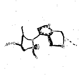 COC1CS(=O)(=O)N(c2cnn3c2CN[C@@H](C)C3)C1C